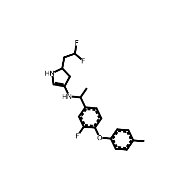 Cc1ccc(Oc2ccc(C(C)NC3=CNC(CC(F)F)C3)cc2F)cc1